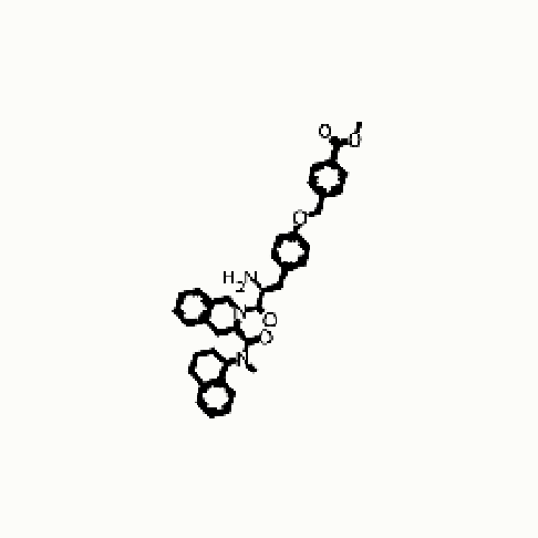 COC(=O)c1ccc(COc2ccc(C[C@H](N)C(=O)N3Cc4ccccc4CC3C(=O)N(C)C3CCCc4ccccc43)cc2)cc1